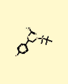 CC(C)(C)[Si](C)(C)OCC(OC(N)=O)c1ccc(Br)cc1